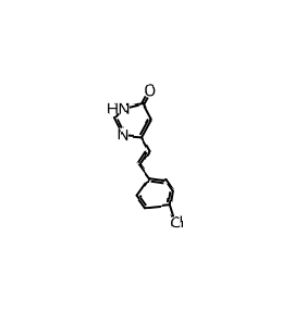 O=c1cc(C=Cc2ccc(Cl)cc2)nc[nH]1